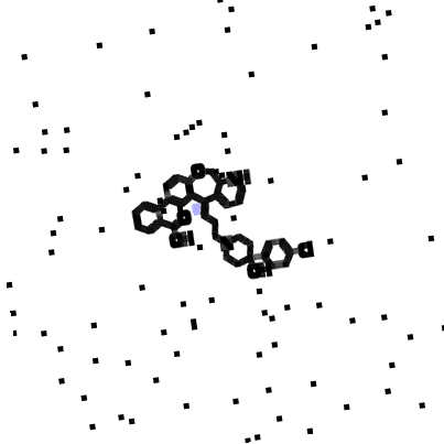 O=C(O)c1ccccc1-c1ccc2c(c1)/C(=C/CCN1CCC(O)(c3ccc(Cl)cc3)CC1)C1=CC=CNC1CO2